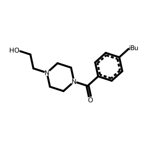 CCC(C)c1ccc(C(=O)N2CCN(CCO)CC2)cc1